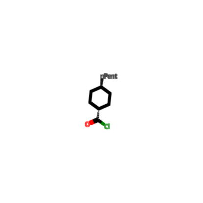 CCCCC[C@H]1CC[C@H](C(=O)Cl)CC1